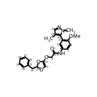 COc1ccc(NC(=O)COC2=COC(Cc3ccccc3)O2)cc1-c1c(C)cnn1C